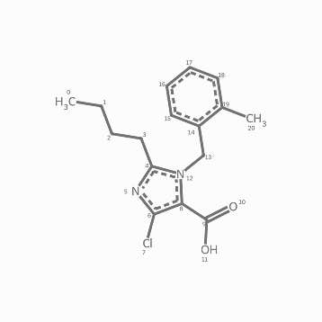 CCCCc1nc(Cl)c(C(=O)O)n1Cc1ccccc1C